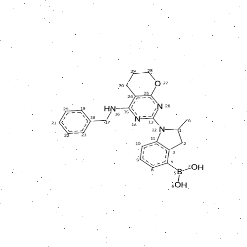 CC1Cc2c(B(O)O)cccc2N1c1nc(NCc2ccccc2)c2c(n1)OCCC2